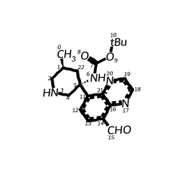 C[C@@H]1CNC[C@](NC(=O)OC(C)(C)C)(c2ccc(C=O)c3nccnc23)C1